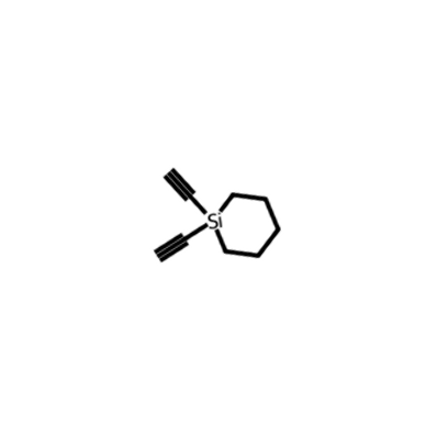 C#C[Si]1(C#C)CCCCC1